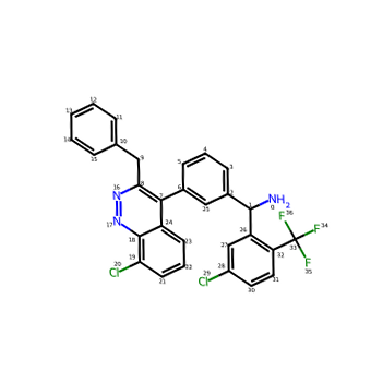 NC(c1cccc(-c2c(Cc3ccccc3)nnc3c(Cl)cccc23)c1)c1cc(Cl)ccc1C(F)(F)F